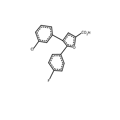 O=C(O)c1cc(-c2cccc(Cl)c2)c(-c2ccc(F)cc2)o1